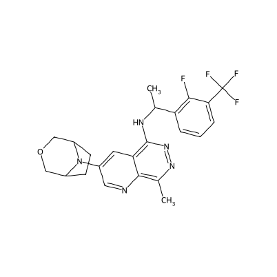 Cc1nnc(NC(C)c2cccc(C(F)(F)F)c2F)c2cc(N3C4CCC3COC4)cnc12